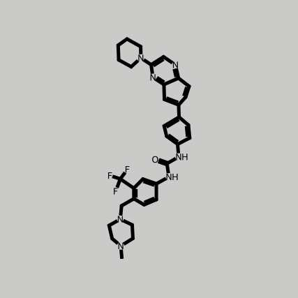 CN1CCN(Cc2ccc(NC(=O)Nc3ccc(-c4ccc5ncc(N6CCCCC6)nc5c4)cc3)cc2C(F)(F)F)CC1